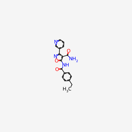 CCc1ccc(C(=O)Nc2onc(-c3cccnc3)c2C(N)=O)cc1